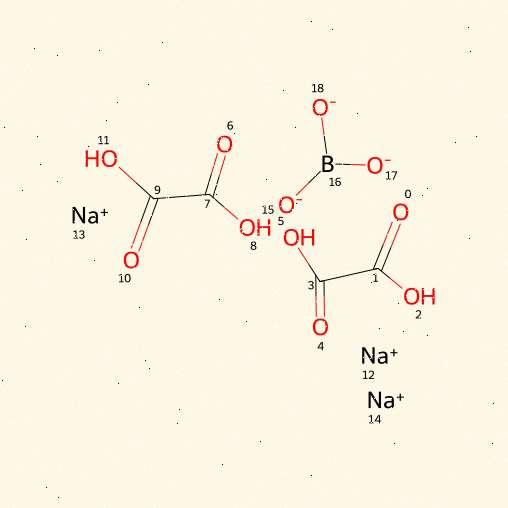 O=C(O)C(=O)O.O=C(O)C(=O)O.[Na+].[Na+].[Na+].[O-]B([O-])[O-]